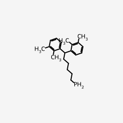 Cc1cccc(C(CCCCCP)c2cccc(C)c2C)c1C